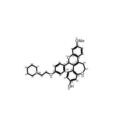 COc1ccc2c(c1)OC(c1ccc(OCCN3CCCCC3)cc1)C1=C2CCOc2cc(O)ccc21